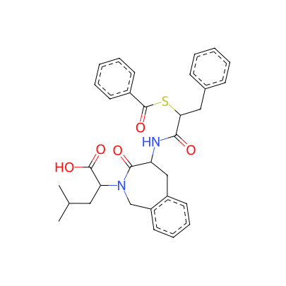 CC(C)CC(C(=O)O)N1Cc2ccccc2CC(NC(=O)C(Cc2ccccc2)SC(=O)c2ccccc2)C1=O